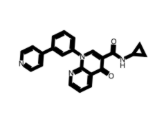 O=C(NC1CC1)c1cn(-c2cccc(-c3ccncc3)c2)c2ncccc2c1=O